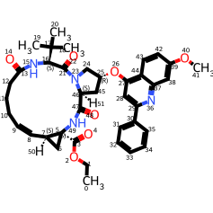 CCOC(=O)[C@]12C[C@H]1C=CCCCC(=O)N[C@@H](C(C)(C)C)C(=O)N1C[C@H](Oc3cc(-c4ccccc4)nc4cc(OC)ccc34)C[C@H]1C(=O)N2